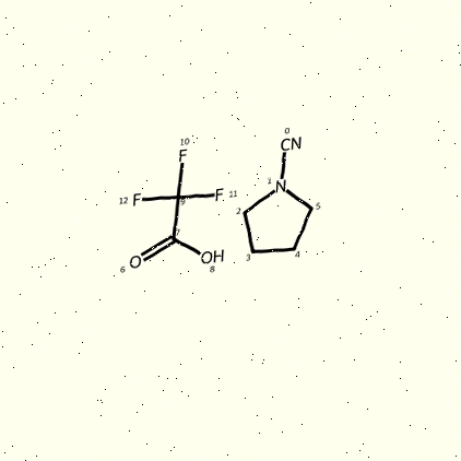 N#CN1CCCC1.O=C(O)C(F)(F)F